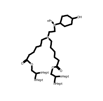 CCCCCCCC(CCCCCCC)COC(=O)CCCCCN(CCCCCC(=O)OCC(CCCCCCC)CCCCCCC)CCN(CCC)C1CCC(O)CC1